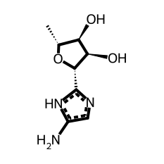 C[C@H]1O[C@@H](c2ncc(N)[nH]2)[C@H](O)[C@@H]1O